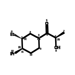 CC[C@@H]1CN(C(=O)[C@@H](C)O)CC[C@H]1C(C)C